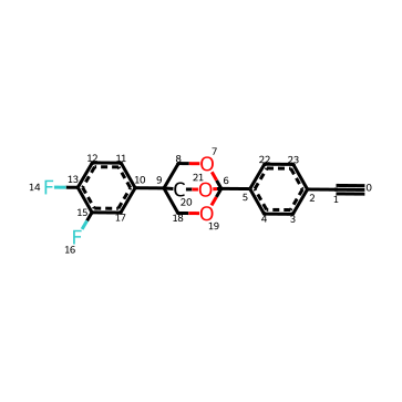 C#Cc1ccc(C23OCC(c4ccc(F)c(F)c4)(CO2)CO3)cc1